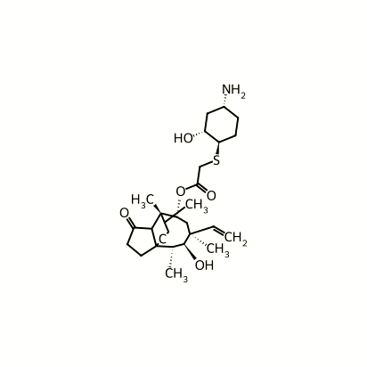 C=C[C@]1(C)C[C@@H](OC(=O)CS[C@@H]2CC[C@@H](N)C[C@H]2O)[C@]2(C)C(C)CCC3(CCC(=O)C32)[C@@H](C)[C@@H]1O